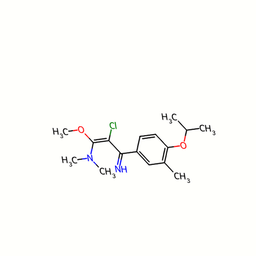 CO/C(=C(\Cl)C(=N)c1ccc(OC(C)C)c(C)c1)N(C)C